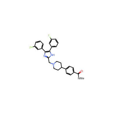 CNC(=O)c1ccc(C2CCN(Cc3nc(-c4cccc(F)c4)c(-c4cccc(F)c4)[nH]3)CC2)cc1